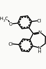 COc1ccc(Cl)c(C2=NCCNc3ccc(Cl)cc32)c1